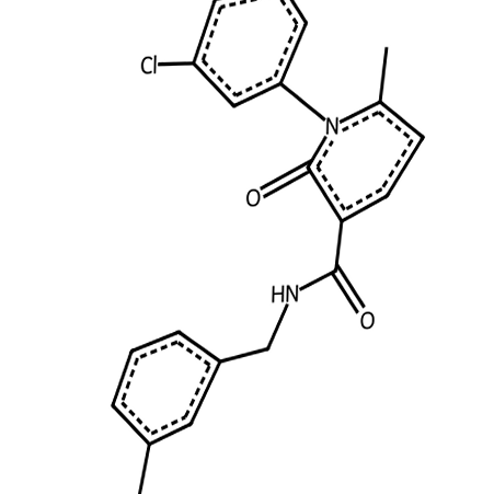 Cc1ccc(C(=O)NCc2cccc(Cl)c2)c(=O)n1-c1cccc(Cl)c1